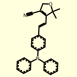 CC1(C)OCC(C#N)=C1C=Cc1ccc(N(c2ccccc2)c2ccccc2)cc1